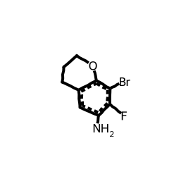 Nc1cc2c(c(Br)c1F)OCCC2